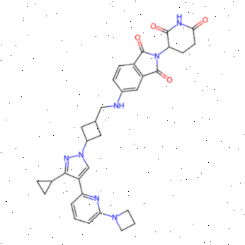 O=C1CCC(N2C(=O)c3ccc(NCC4CC(n5cc(-c6cccc(N7CCC7)n6)c(C6CC6)n5)C4)cc3C2=O)C(=O)N1